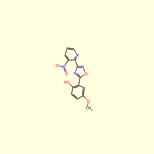 COc1ccc(O)c(-c2nc(-c3ncccc3[N+](=O)[O-])no2)c1